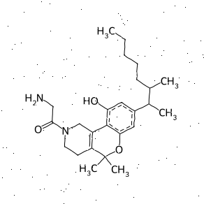 CCCCCC(C)C(C)c1cc(O)c2c(c1)OC(C)(C)C1=C2CN(C(=O)CN)CC1